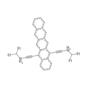 CCC(CC)[SiH2]C#Cc1c2ccccc2c(C#C[SiH2]C(CC)CC)c2cc3cc4ccccc4cc3cc12